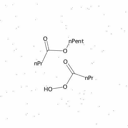 CCCC(=O)OO.CCCCCOC(=O)CCC